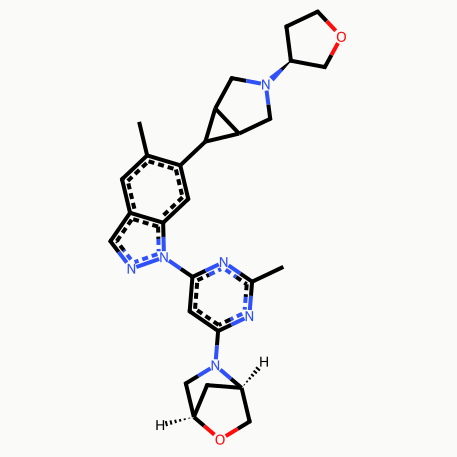 Cc1nc(N2C[C@H]3C[C@@H]2CO3)cc(-n2ncc3cc(C)c(C4C5CN([C@H]6CCOC6)CC54)cc32)n1